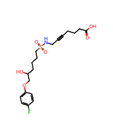 O=C(O)CCCC#CCNS(=O)(=O)CCCCC(O)COc1ccc(F)cc1